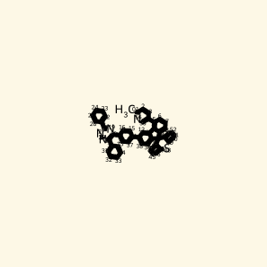 Cc1ccc(-c2cccc3c2-c2cc(-c4ccc(-c5nc(-c6ccccc6)nnc5-c5ccccc5)cc4)ccc2C32c3ccccc3Sc3ccccc32)cn1